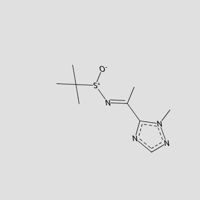 CC(=N[S+]([O-])C(C)(C)C)c1ncnn1C